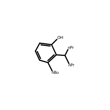 CCCCc1cccc(O)c1C(CCC)CCC